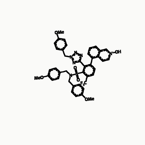 COc1ccc(CN(Cc2ccc(OC)cc2)S(=O)(=O)c2c(C(F)(F)F)ccc(-c3cccc4c[n+](O)ccc34)c2-c2nnn(Cc3ccc(OC)cc3)n2)cc1